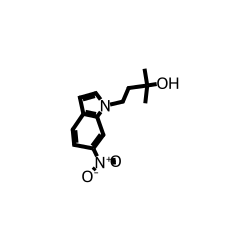 CC(C)(O)CCn1ccc2ccc([N+](=O)[O-])cc21